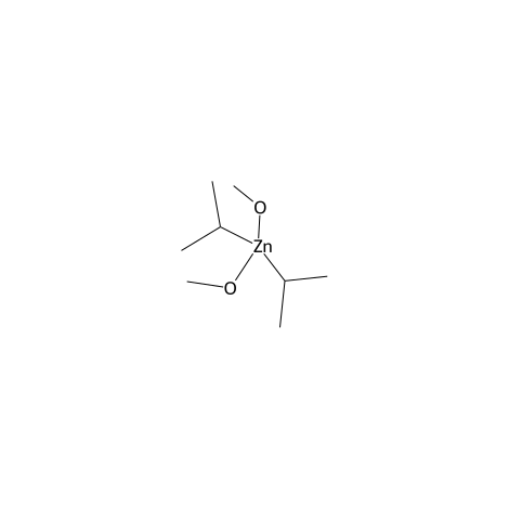 C[O][Zn]([O]C)([CH](C)C)[CH](C)C